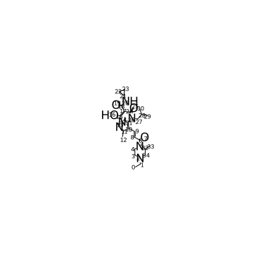 CCN1CCN(C(=O)C=Cc2c(C)nn3c(O)c(C(=O)NC4CC4)c(=O)n(CC(C)C)c23)C(C)C1